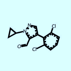 O=Cc1c(-c2c(Cl)cccc2Cl)cnn1C1CC1